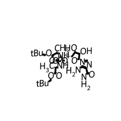 C[C@H](NP(=O)(N[C@@H](C)C(=O)OCC(C)(C)C)OC[C@H]1O[C@@H](n2cnc(C(N)=O)c2N)[C@H](O)C1O)C(=O)OCC(C)(C)C